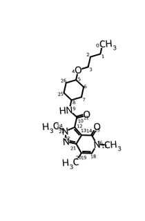 CCCCOC1CCC(NC(=O)c2c3c(=O)n(C)cc(C)c3nn2C)CC1